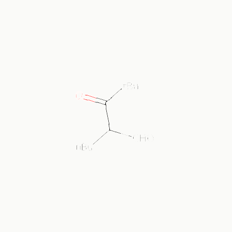 CCCCC([C]=O)C(=O)C(C)(C)C